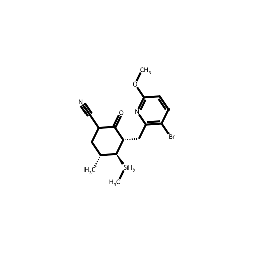 COc1ccc(Br)c(C[C@H]2C(=O)C(C#N)C[C@@H](C)[C@@H]2[SiH2]C)n1